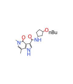 CCCCO[C@@H]1CCC(NC(=O)c2c[nH]c3c(C)cn(C)c(=O)c23)C1